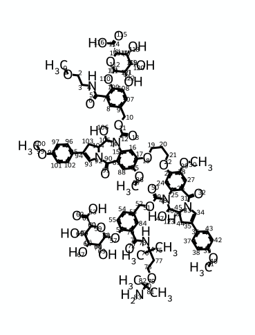 COCCNC(=O)c1cc(COC(=O)N2c3cc(OCCCOc4cc5c(cc4OC)C(=O)N4C=C(c6ccc(OC)cc6)C[C@H]4C(O)N5C(=O)OCc4ccc(O[C@@H]5O[C@H](C(=O)O)[C@@H](O)[C@H](O)[C@H]5O)c(C(=O)NC(C)(C)CCOC(C)(C)N)c4)c(OC)cc3C(=O)N3C=C(c4ccc(OC)cc4)CC3C2O)ccc1O[C@@H]1O[C@H](C(=O)O)[C@@H](O)[C@H](O)[C@H]1O